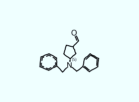 O=CC1CC[C@H](N(CC2=CC=C=C=C2)Cc2ccccc2)C1